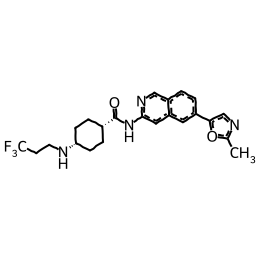 Cc1ncc(-c2ccc3cnc(NC(=O)[C@H]4CC[C@@H](NCCC(F)(F)F)CC4)cc3c2)o1